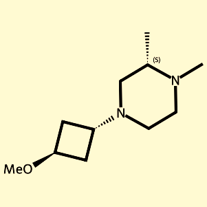 CO[C@H]1C[C@H](N2CCN(C)[C@@H](C)C2)C1